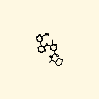 CNc1cc(-c2cccnc2Oc2cc(C(=O)N[C@H](C)C3CCCCC3)ccc2C)ccn1